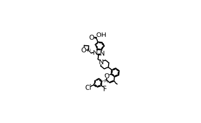 CC1=C[C@H](c2ccc(Cl)cc2F)Oc2c1cccc2C1CCN(Cc2nc3ccc(C(=O)O)cc3n2C[C@@H]2CCO2)CC1